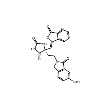 COc1ccc2c(c1)C(=O)N(CC[C@@]1(/C=C3\OC(=O)c4ncccc43)NC(=O)NC1=O)C2